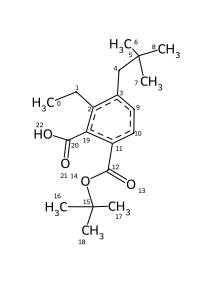 CCc1c(CC(C)(C)C)ccc(C(=O)OC(C)(C)C)c1C(=O)O